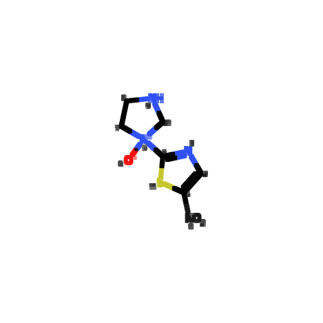 O=[N+]([O-])c1cnc([N+]2([O-])CCNC2)s1